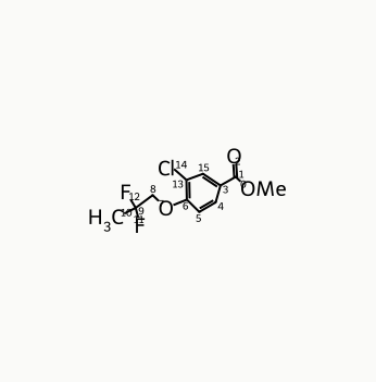 COC(=O)c1ccc(OCC(C)(F)F)c(Cl)c1